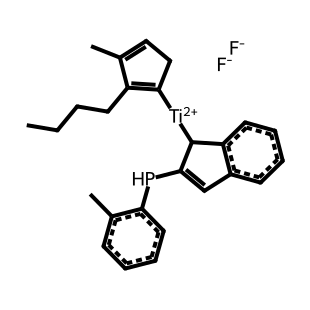 CCCCC1=[C]([Ti+2][CH]2C(Pc3ccccc3C)=Cc3ccccc32)CC=C1C.[F-].[F-]